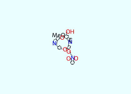 COc1c(CO)cc2c3c1Oc1ccc4c(c1)C(Cc1ccc(cc1)Oc1cc(ccc1OCCCN1C(=O)c5ccccc5C1=O)CC3N(C)CC2)N(C)CC4